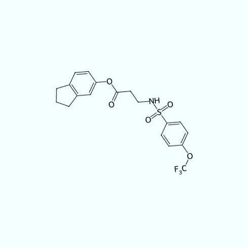 O=C(CCNS(=O)(=O)c1ccc(OC(F)(F)F)cc1)Oc1ccc2c(c1)CCC2